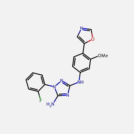 COc1cc(Nc2nc(N)n(-c3ccccc3F)n2)ccc1-c1cnco1